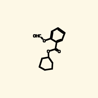 O=COc1ccccc1C(=O)OC1CCCCC1